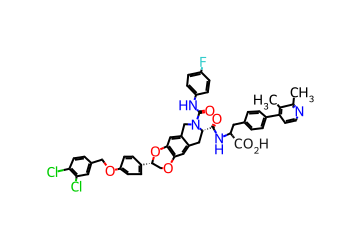 Cc1nccc(-c2ccc(CC(NC(=O)[C@@H]3Cc4cc5c(cc4CN3C(=O)Nc3ccc(F)cc3)O[C@@H](c3ccc(OCc4ccc(Cl)c(Cl)c4)cc3)CO5)C(=O)O)cc2)c1C